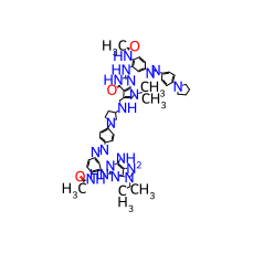 CC(=O)Nc1ccc(/N=N/c2ccc(N3CCC(NCc4cn(C(C)C)c5nc(Nc6cc(/N=N/c7ccc(N8CCCC8)cc7)ccc6NC(C)=O)[nH]c(=O)c45)C3)cc2)cc1Nc1nc(N)c2ncn(C(C)C)c2n1